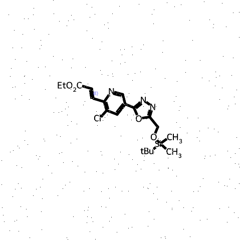 CCOC(=O)/C=C/c1ncc(-c2nnc(CO[Si](C)(C)C(C)(C)C)o2)cc1Cl